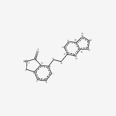 O=C1NCc2cccc(CCc3ccc4sccc4n3)c21